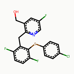 OCc1cc(F)cnc1Cc1c(F)ccc(F)c1Sc1ccc(Cl)cc1